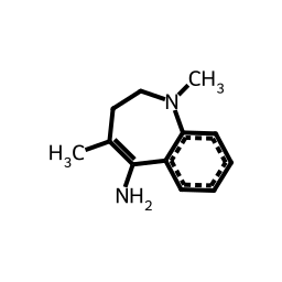 CC1=C(N)c2ccccc2N(C)CC1